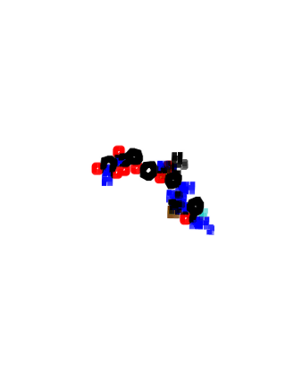 Cc1cc(Nc2ncc(Br)c(Nc3cccc(F)c3C(N)=O)n2)ccc1S(=O)(=O)N[C@@H]1CCCC(Oc2cccc3c2C(=O)N(C2CCC(=O)NC2=O)C3=O)CC1